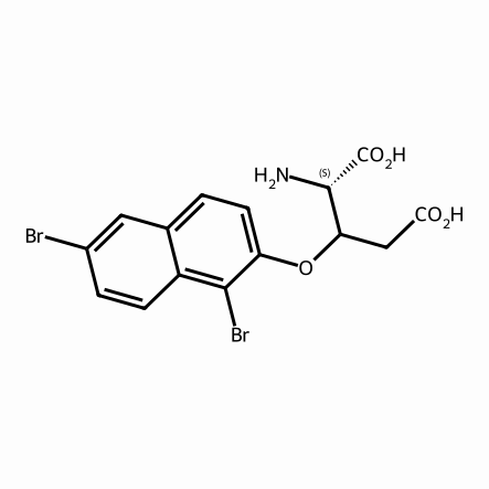 N[C@H](C(=O)O)C(CC(=O)O)Oc1ccc2cc(Br)ccc2c1Br